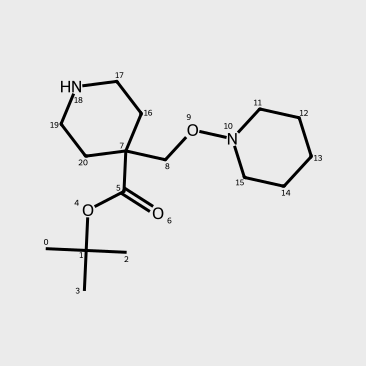 CC(C)(C)OC(=O)C1(CON2CCCCC2)CCNCC1